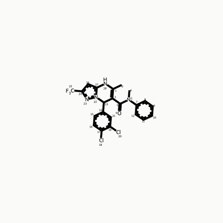 CC1=C(C(=O)N(C)c2ccccc2)C(c2ccc(Cl)c(Cl)c2)n2nc(C(F)(F)F)cc2N1